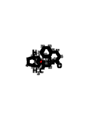 CCCCC1CC2CC[C@H](C1)N2CC(C)CN1C(=O)CCc2ccccc21